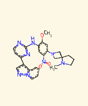 COc1cc(N2CC3(CCCN3C)C2)c([N+](=O)[O-])cc1Nc1nccc(-c2cnn3ccccc23)n1